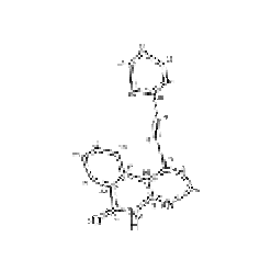 O=c1[nH]c2nccc(C#Cc3ccccc3)c2c2ccccc12